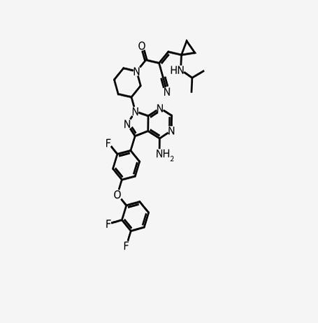 CC(C)NC1(C=C(C#N)C(=O)N2CCCC(n3nc(-c4ccc(Oc5cccc(F)c5F)cc4F)c4c(N)ncnc43)C2)CC1